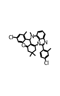 Cc1cc(Cl)ccc1-c1nc2cccc3c2n1C1=C(C(=O)CC(C)(C)C1)C(c1ccc(Cl)cc1C)N3C